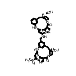 CNc1cc2nc3c(cnn13)C(=O)N1C[C@H](Cc3cc(CNc4cc5nc6c(cnn46)C(=O)N4C[C@@H](CO)[C@@H](Cc6cccc(c6)N5)C4)cc(c3)N2)[C@H](O)C1